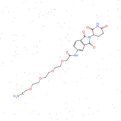 NCCOCCOCCOCCOCC(=O)Nc1ccc2c(c1)C(=O)N(C1CCC(=O)NC1=O)C2=O